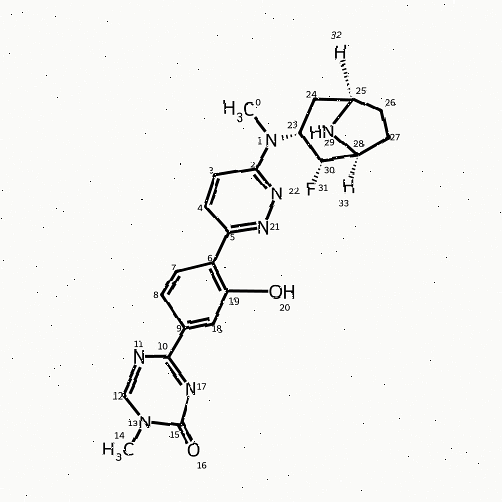 CN(c1ccc(-c2ccc(-c3ncn(C)c(=O)n3)cc2O)nn1)[C@@H]1C[C@H]2CC[C@H](N2)[C@@H]1F